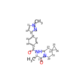 CC(NC(=O)c1ccc(-c2ccn(C)n2)cc1)C(=O)N1CCC2(CC1)CC2